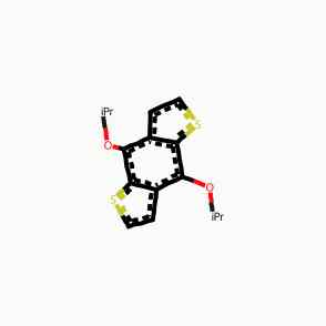 CC(C)Oc1c2ccsc2c(OC(C)C)c2ccsc12